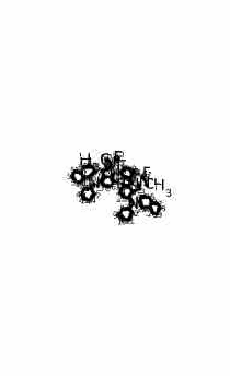 CN(c1cc2c(N(c3ccccc3)c3ccc4ccccc4c3)ccc3c2n1-c1cccc2c1B3c1ccc(N(c3ccccc3)c3cccc4ccccc34)c3cc(N(C)C(F)F)n-2c13)C(F)F